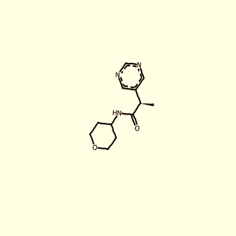 C[C@@H](C(=O)NC1CCOCC1)c1cncnc1